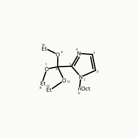 CCCCCCCCn1ccnc1C(OCC)(OCC)OCC